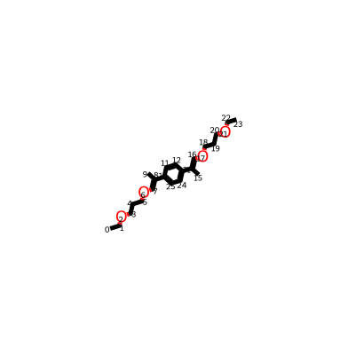 CCOCCCOC=C(C)c1ccc(C(C)=COCCCOCC)cc1